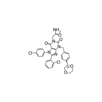 NC(=O)Cn1c(=O)c2c(nc(-c3ccccc3Cl)n2-c2ccc(Cl)cc2)n(Cc2ccc([C@@H]3COCCO3)cc2)c1=O